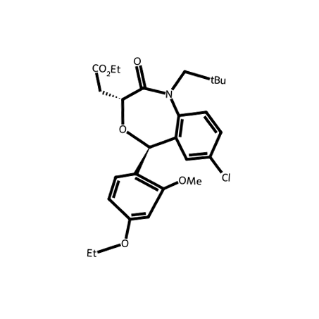 CCOC(=O)C[C@H]1O[C@H](c2ccc(OCC)cc2OC)c2cc(Cl)ccc2N(CC(C)(C)C)C1=O